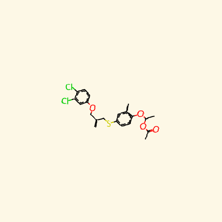 C=C(COc1ccc(Cl)c(Cl)c1)CSc1ccc(OC(C)OC(C)=O)c(C)c1